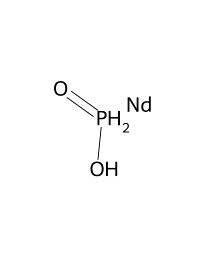 O=[PH2]O.[Nd]